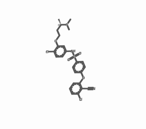 C[C@@H](CCOc1cc(NS(=O)(=O)c2ccc(Oc3cccc(Cl)c3C#N)cc2)ccc1Cl)N(C)C